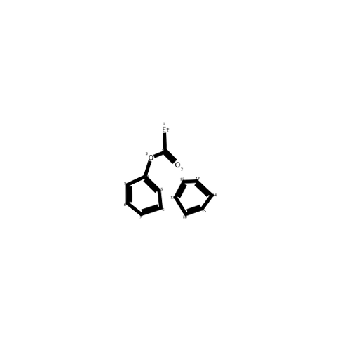 CCC(=O)Oc1ccccc1.c1ccccc1